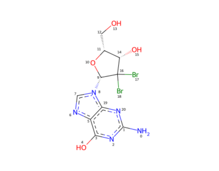 Nc1nc(O)c2ncn([C@@H]3O[C@H](CO)[C@H](O)C3(Br)Br)c2n1